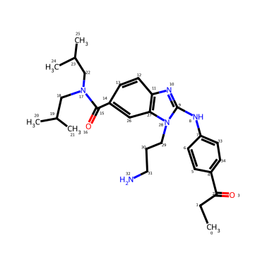 CCC(=O)c1ccc(Nc2nc3ccc(C(=O)N(CC(C)C)CC(C)C)cc3n2CCCN)cc1